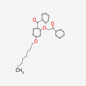 CCCCCCCCOc1ccc(C(=O)c2ccccc2)c(OCC(=O)c2ccccc2)c1